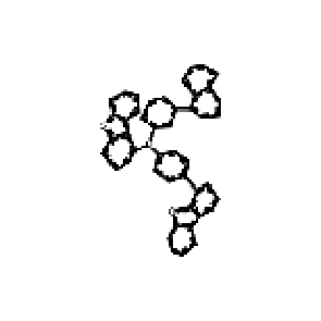 c1cc(-c2cccc3ccccc23)cc(N(c2ccc(-c3cccc4c3oc3ccccc34)cc2)c2cccc3sc4ccccc4c23)c1